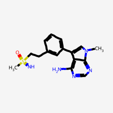 Cn1cc(-c2cccc(CCS(C)(=N)=O)c2)c2c(N)ncnc21